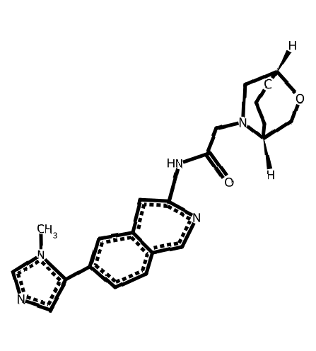 Cn1cncc1-c1ccc2cnc(NC(=O)CN3C[C@H]4CCC[C@@H]3CO4)cc2c1